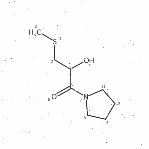 CSCC(O)C(=O)N1CCCC1